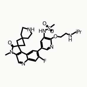 CC(C)NCCOc1ncc(-c2cc3c4c(cnc3cc2F)N(C)C(=O)C42CC3(CCNCC3)C2)cc1NS(C)(=O)=O